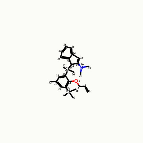 C=CCOc1c([Si](C)(C)C)cc(C)cc1[Si](C)(C)C1C(N(C)C)=Cc2ccccc21